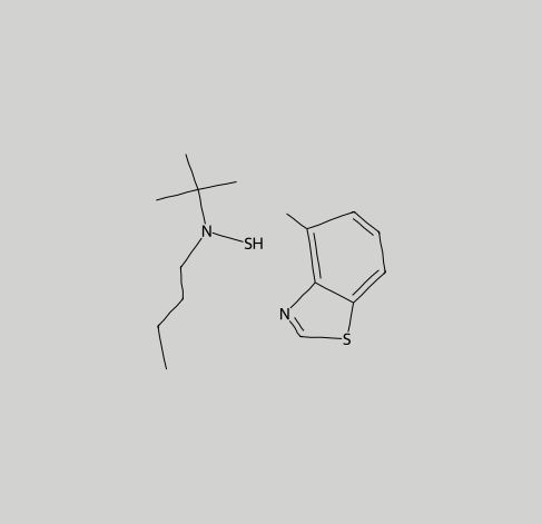 CCCCN(S)C(C)(C)C.Cc1cccc2scnc12